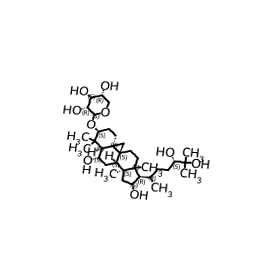 C[C@H](CC[C@H](O)C(C)(C)O)[C@H]1[C@@H](O)C[C@@]2(C)[C@@H]3C[C@H](O)[C@H]4C(C)(C)[C@@H](O[C@@H]5OC[C@@H](O)[C@H](O)[C@H]5O)CC[C@@]45C[C@@]35CC[C@]12C